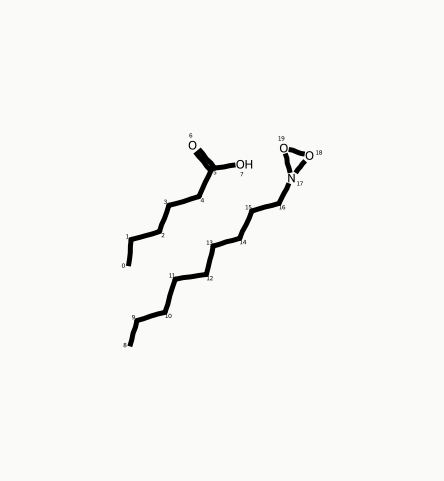 CCCCCC(=O)O.CCCCCCCCCn1oo1